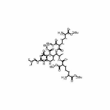 CC(OC(=O)C(CCCC(N)C(=O)OC(C)(C)C)C(=O)OC(C)(C)C)C(OC(=O)C(CCCC(N)C(=O)OC(C)(C)C)C(=O)OC(C)(C)C)C1CNc2[nH]c(N=CN(C)C)nc(=O)c2N1C(=O)OC(C)(C)C